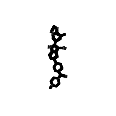 Cc1cc(-c2[nH]c3ccc(C4CCC(C(=O)N5CCN(C)CC5)CC4)cc3c2C(C)C)cn2ncnc12